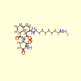 NCCCCCCCCNc1ccc2cccc3c2c1C(=O)N(C1CCC(=O)NC1=O)C3=O